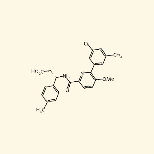 COc1ccc(C(=O)N[C@@H](CC(=O)O)c2ccc(C)cc2)nc1-c1cc(C)cc(Cl)c1